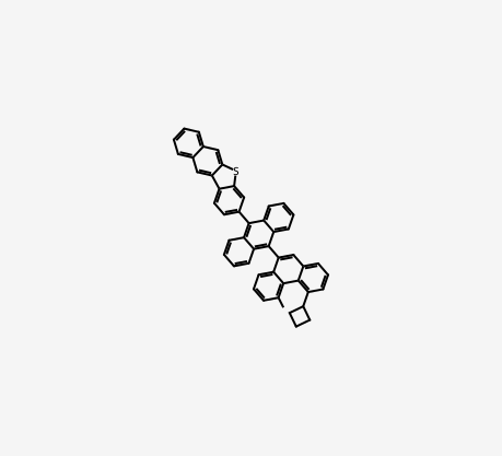 Cc1cccc2c(-c3c4ccccc4c(-c4ccc5c(c4)sc4cc6ccccc6cc45)c4ccccc34)cc3cccc(C4CCC4)c3c12